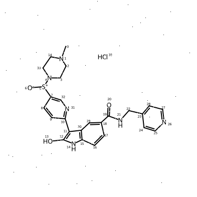 CN1CCN([S+]([O-])c2ccc(-c3c(O)[nH]c4ccc(C(=O)NCc5ccncc5)cc34)nc2)CC1.Cl